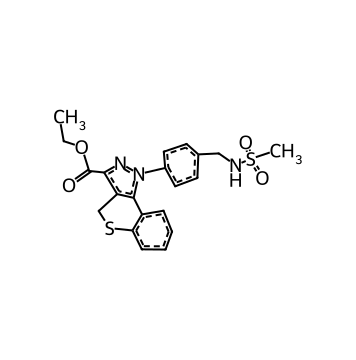 CCOC(=O)c1nn(-c2ccc(CNS(C)(=O)=O)cc2)c2c1CSc1ccccc1-2